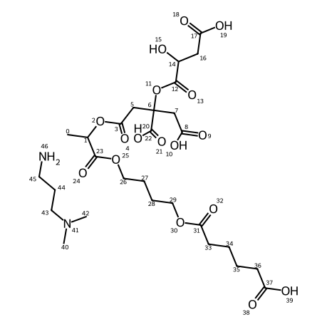 CC(OC(=O)CC(CC(=O)O)(OC(=O)C(O)CC(=O)O)C(=O)O)C(=O)OCCCCOC(=O)CCCCC(=O)O.CN(C)CCCN